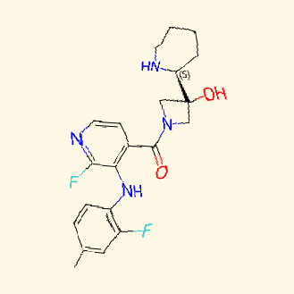 Cc1ccc(Nc2c(C(=O)N3CC(O)([C@@H]4CCCCN4)C3)ccnc2F)c(F)c1